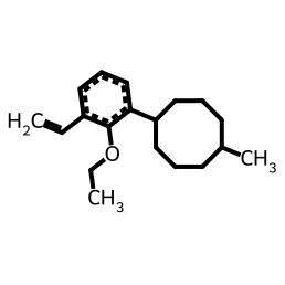 C=Cc1cccc(C2CCCC(C)CCC2)c1OCC